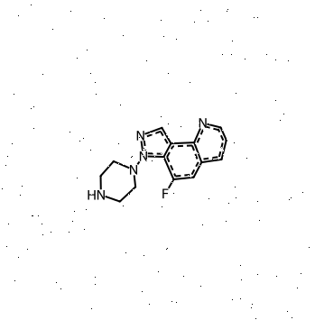 Fc1cc2cccnc2c2cnn(N3CCNCC3)c12